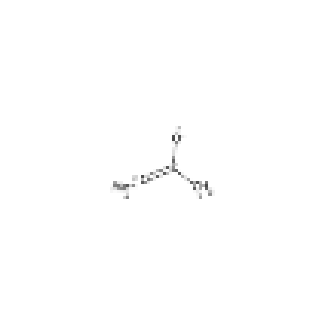 CC(=O)[O-].[Mo+]